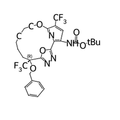 CC(C)(C)OC(=O)Nc1cc(C(F)(F)F)c2nc1-c1nnc(o1)[C@@](OCc1ccccc1)(C(F)(F)F)CCCCCCO2